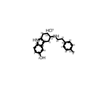 Cl.Oc1ccc2[nH]c3c(c2c1)CC(NCCc1ccc(F)cc1)CC3